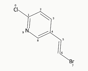 Clc1ccc(/C=C/Br)cn1